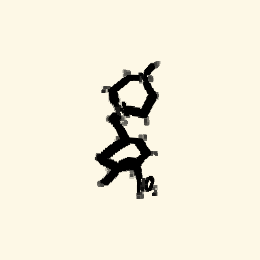 Cc1cc(CN2CCN(C)CC2)ccc1[N+](=O)[O-]